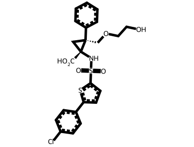 O=C(O)[C@@]1(NS(=O)(=O)c2ccc(-c3ccc(Cl)cc3)s2)C[C@@]1(COCCO)c1ccccc1